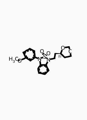 COc1cccc(N2c3ccccc3N(CC[C@@H]3CCCCO3)S2(=O)=O)c1